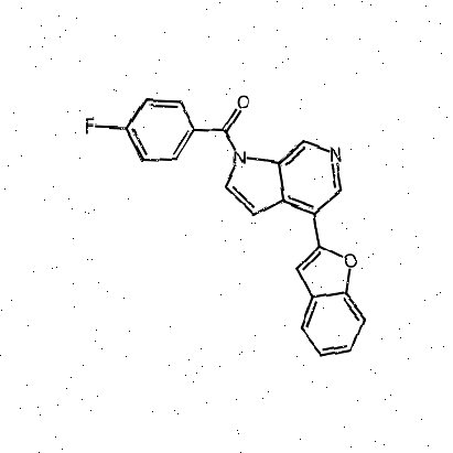 O=C(c1ccc(F)cc1)n1ccc2c(-c3cc4ccccc4o3)cncc21